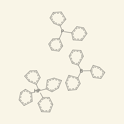 c1ccc(B(c2ccccc2)c2ccccc2)cc1.c1ccc(P(c2ccccc2)c2ccccc2)cc1.c1ccc([PH](c2ccccc2)(c2ccccc2)c2ccccc2)cc1